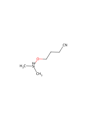 C[SiH](C)OCCCC#N